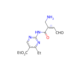 CCOC(=O)c1cnc(NC(=O)/C(=C\C=O)CN)nc1CC